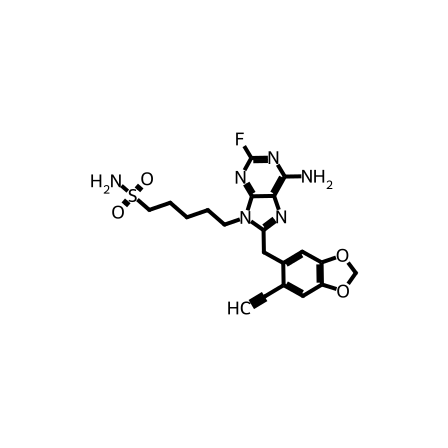 C#Cc1cc2c(cc1Cc1nc3c(N)nc(F)nc3n1CCCCCS(N)(=O)=O)OCO2